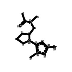 CC(=O)N(C)CC1CCCN1c1cc(Br)nn1C